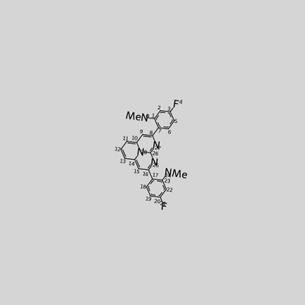 CNc1cc(F)ccc1C1=CC2=CC=CC3=CC(c4ccc(F)cc4NC)=NC(=N1)N23